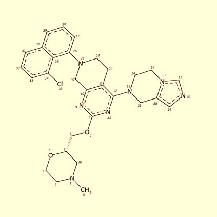 CN1CCO[C@H](COc2nc3c(c(N4CCn5cncc5C4)n2)CCN(c2cccc4cccc(Cl)c24)C3)C1